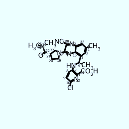 Cc1cc([C@@H](C)Nc2ccc(Cl)nc2C(=O)O)c2nc(N3CC[C@H](C(=O)N(C)C)C3)c(C#N)nc2c1